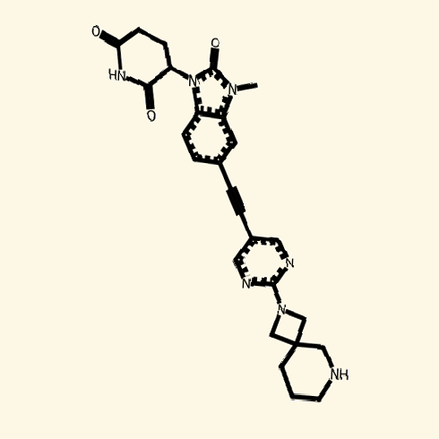 Cn1c(=O)n(C2CCC(=O)NC2=O)c2ccc(C#Cc3cnc(N4CC5(CCCNC5)C4)nc3)cc21